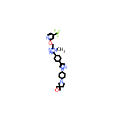 Cn1c(COc2cc(C(F)(F)F)ccn2)nnc1C1CCC(c2cnn(C3CCC(N4CCC5(COC5)C4)CC3)c2)CC1